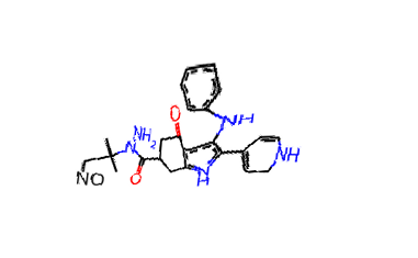 CC(C)(CN=O)N(N)C(=O)C1CC(=O)c2c([nH]c(C3=CCNC=C3)c2Nc2ccccc2)C1